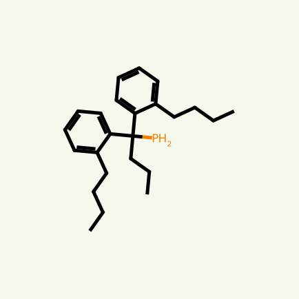 CCCCc1ccccc1C(P)(CCC)c1ccccc1CCCC